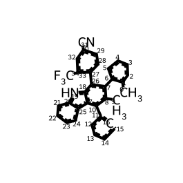 Cc1ccccc1-c1c(C)c(-c2ccccc2)c2c([nH]c3ccccc32)c1-c1ccc(C#N)cc1C(F)(F)F